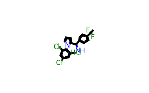 CC(F)(F)c1ccc(C2NCc3cc(Cl)cc(Cl)c3-n3cccc32)cc1.Cl